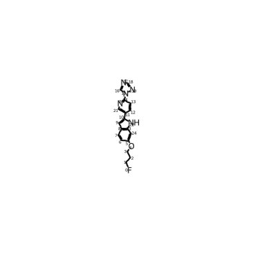 FCCCOc1ccc2cc(-c3ccc(-n4cncn4)nc3)[nH]c2c1